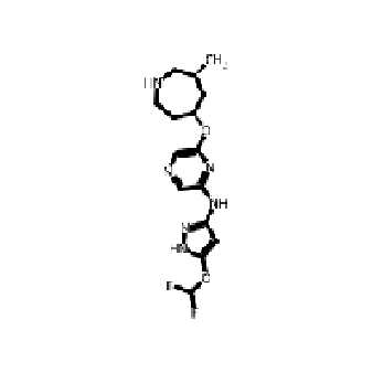 C[C@@H]1CNCC[C@H](Oc2cncc(Nc3cc(OC(F)F)[nH]n3)n2)C1